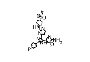 COc1cc(-c2[nH]c(-c3ccc(F)cc3)nc2-c2ccnc(NC3CCC(S(=O)(=O)C4CC4)CC3)n2)cnc1N